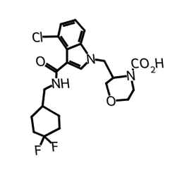 O=C(NCC1CCC(F)(F)CC1)c1cn(CC2COCCN2C(=O)O)c2cccc(Cl)c12